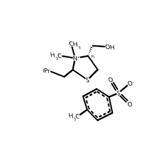 CC(C)CC1SC[C@@H](CO)[N+]1(C)C.Cc1ccc(S(=O)(=O)[O-])cc1